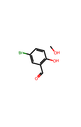 CO.O=Cc1cc(Br)ccc1O